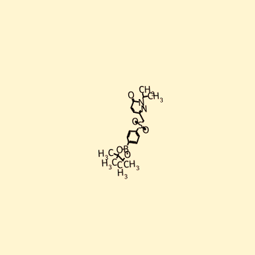 CC(C)n1nc(CS(=O)(=O)c2ccc(B3OC(C)(C)C(C)(C)O3)cc2)ccc1=O